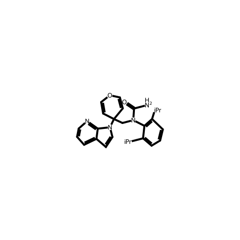 CC(C)c1cccc(C(C)C)c1N(CC1(n2ccc3cccnc32)C=COC=C1)C(N)=O